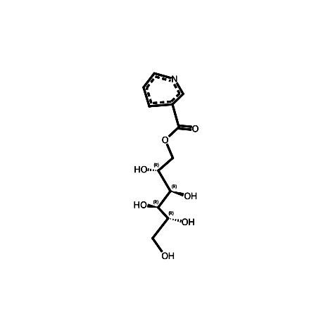 O=C(OC[C@@H](O)[C@@H](O)[C@H](O)[C@H](O)CO)c1cccnc1